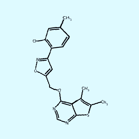 Cc1ccc(-c2cc(COc3ncnc4sc(C)c(C)c34)on2)c(Cl)c1